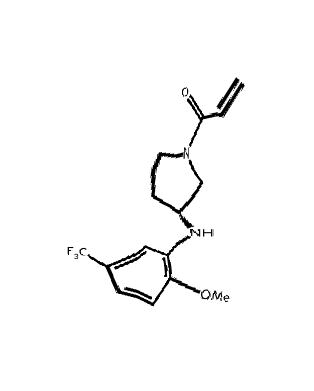 C=CC(=O)N1CC[C@H](Nc2cc(C(F)(F)F)ccc2OC)C1